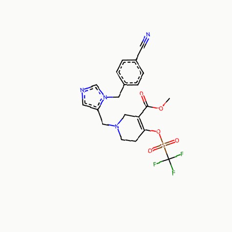 COC(=O)C1=C(OS(=O)(=O)C(F)(F)F)CCN(Cc2cncn2Cc2ccc(C#N)cc2)C1